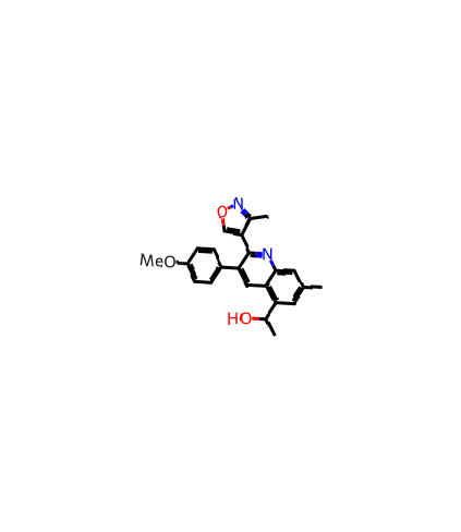 COc1ccc(-c2cc3c(C(C)O)cc(C)cc3nc2-c2conc2C)cc1